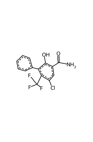 NC(=O)c1cc(Cl)c(C(F)(F)F)c(-c2ccccc2)c1O